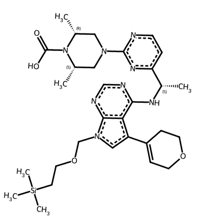 C[C@H](Nc1ncnc2c1c(C1=CCOCC1)cn2COCC[Si](C)(C)C)c1ccnc(N2C[C@@H](C)N(C(=O)O)[C@@H](C)C2)n1